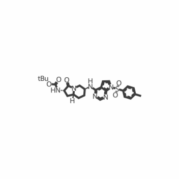 Cc1ccc(S(=O)(=O)n2ccc3c(N[C@H]4CC[C@@H]5C[C@H](NC(=O)OC(C)(C)C)C(=O)N5C4)ncnc32)cc1